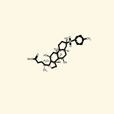 COC(=O)CC[C@@H](C)[C@H]1CC[C@H]2[C@@H]3[C@H](O)C[C@@H]4C[C@@](O)(S(=O)(=O)c5ccc(C)cc5)CC[C@]4(C)[C@H]3C[C@H](O)[C@]12C